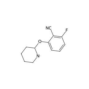 N#Cc1c(F)cccc1OC1CCCC[N]1